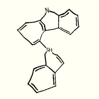 C1=C[SH](c2cccc3c2-c2ccccc2[N]3)c2ccccc21